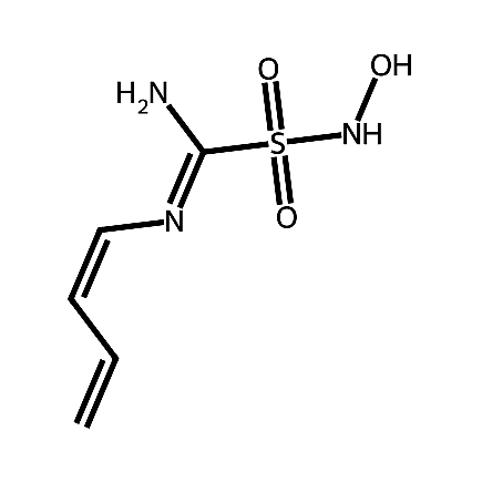 C=C/C=C\N=C(/N)S(=O)(=O)NO